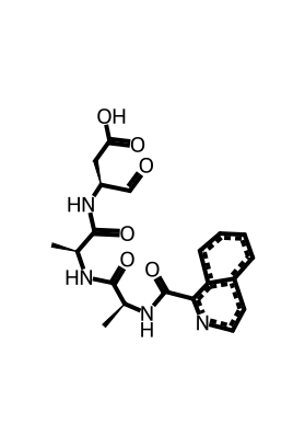 C[C@H](NC(=O)c1nccc2ccccc12)C(=O)N[C@@H](C)C(=O)N[C@H](C=O)CC(=O)O